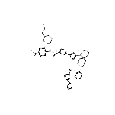 NCCC1CCCN(c2cc(C(N)=O)ccc2NC(=O)c2csc(-c3cc(C4NCCCC45CCN(c4ccccc4NC(=O)c4csc(-c6cccs6)n4)CC5)cs3)n2)C1